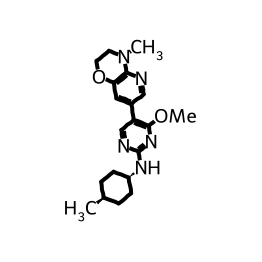 COc1nc(N[C@H]2CC[C@H](C)CC2)ncc1-c1cnc2c(c1)OCCN2C